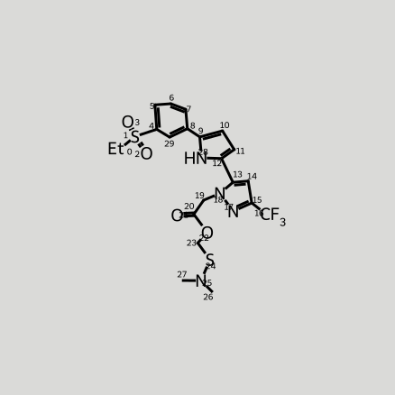 CCS(=O)(=O)c1cccc(-c2ccc(-c3cc(C(F)(F)F)nn3CC(=O)OCSN(C)C)[nH]2)c1